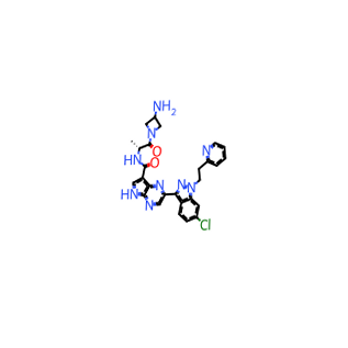 C[C@@H](NC(=O)c1c[nH]c2ncc(-c3nn(CCc4ccccn4)c4cc(Cl)ccc34)nc12)C(=O)N1CC(N)C1